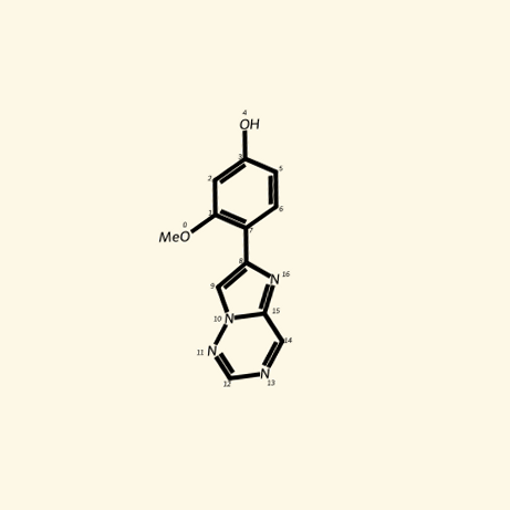 COc1cc(O)ccc1-c1cn2ncncc2n1